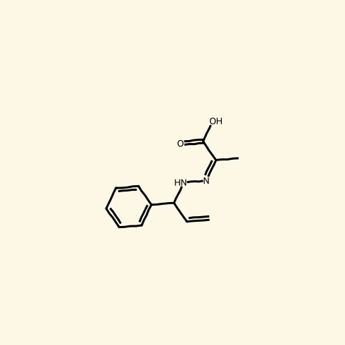 C=CC(NN=C(C)C(=O)O)c1ccccc1